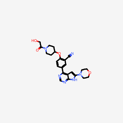 N#Cc1cc(-c2ncnc3[nH]c(N4CCOCC4)cc23)ccc1OC1CCN(C(=O)CO)CC1